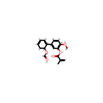 C=C(C)C(=O)Oc1cc(C2=CC=CCC2OC=O)ccc1OC